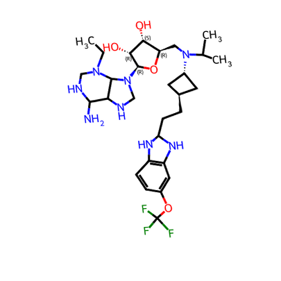 CCN1CNC(N)C2NCN([C@@H]3O[C@H](CN(C(C)C)[C@H]4C[C@H](CCC5Nc6ccc(OC(F)(F)F)cc6N5)C4)[C@@H](O)[C@H]3O)C21